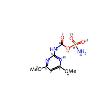 COc1cc(OC)nc(NC(=O)OS(N)(=O)=O)n1